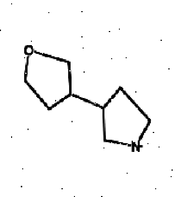 C1CC(C2CCOC2)C[N]1